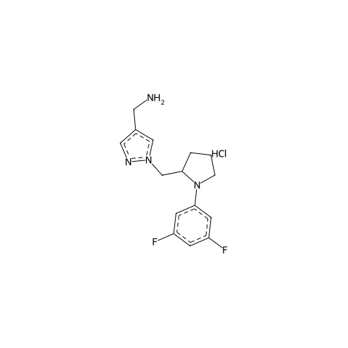 Cl.NCc1cnn(CC2CCCN2c2cc(F)cc(F)c2)c1